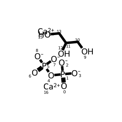 O=P([O-])([O-])OP(=O)([O-])[O-].OCC(O)CO.[Ca+2].[Ca+2]